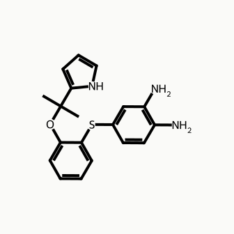 CC(C)(Oc1ccccc1Sc1ccc(N)c(N)c1)c1ccc[nH]1